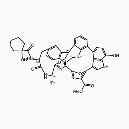 COC(=O)c1nc2oc1-c1c[nH]c3c(O)ccc(c13)-c1cccc3c1NC1Oc4ccc5cc4[C@]31c1oc(nc1-2)[C@H](C(C)C)NC(=O)[C@@H](NC(=O)C1(O)CCCCC1)C5